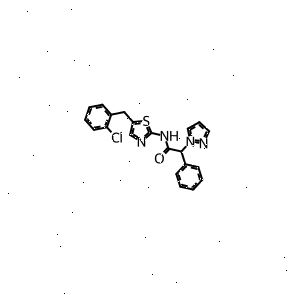 O=C(Nc1ncc(Cc2ccccc2Cl)s1)C(c1ccccc1)n1cccn1